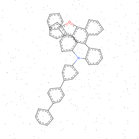 c1ccc(-c2ccc(-c3ccc(N(c4ccc(-c5ccccc5)cc4)c4ccccc4-c4cc5c6ccccc6oc5c5ccccc45)cc3)cc2)cc1